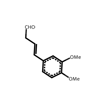 COc1ccc(C=CC[C]=O)cc1OC